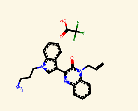 C=CCn1c(=O)c(-c2cn(CCCN)c3ccccc23)nc2ccccc21.O=C(O)C(F)(F)F